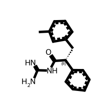 Cc1cccc(C[C@@H](C(=O)NC(=N)N)c2ccccc2)c1